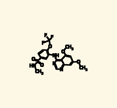 CNS(=O)(=O)c1ccc(OC(F)(F)F)c(Nc2ncnc3cc(OC)cc(OC)c23)c1